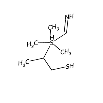 CC(CS)[SH](C)(C)(C)C=N